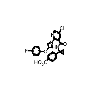 O=C(O)c1ccc(C2(NC(=O)c3cc(Cl)cnc3N3CC(Oc4ccc(F)cc4)C3)CC2)cc1